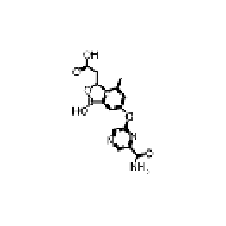 Cc1cc(Oc2cncc(C(N)=O)n2)cc2c1C(CC(=O)O)OB2O